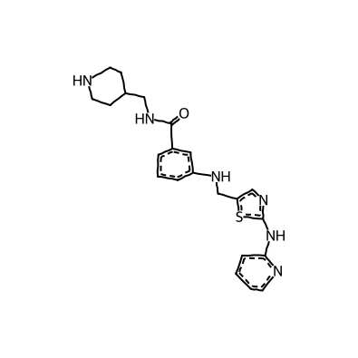 O=C(NCC1CCNCC1)c1cccc(NCc2cnc(Nc3ccccn3)s2)c1